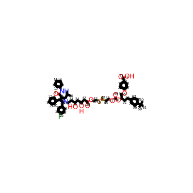 CC(C)c1c(C(=O)Nc2ccccc2)c(-c2ccccc2)c(-c2ccc(F)cc2)n1CC[C@@H](O)C[C@@H](O)CC(=O)OCCSSCCOC(=O)OC(CCc1ccc(C(C)(C)C)cc1)COc1ccc(C(=O)O)cc1